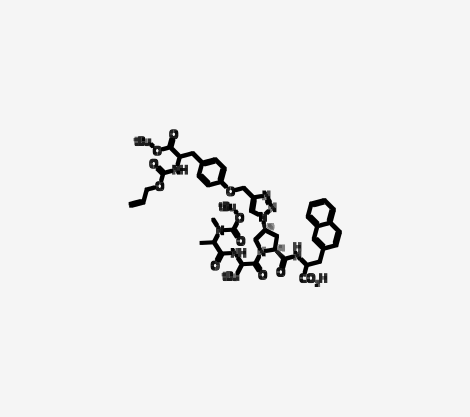 C=CCOC(=O)NC(Cc1ccc(OCc2cn([C@H]3C[C@@H](C(=O)NC(Cc4ccc5ccccc5c4)C(=O)O)N(C(=O)C(NC(=O)C(C)N(C)C(=O)OC(C)(C)C)C(C)(C)C)C3)nn2)cc1)C(=O)OC(C)(C)C